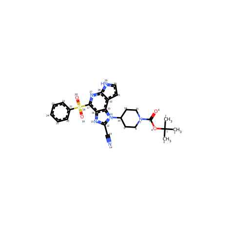 CC(C)(C)OC(=O)N1CCC(n2c(C#N)nc3c(S(=O)(=O)c4ccccc4)nc4[nH]ccc4c32)CC1